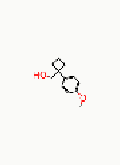 COc1ccc(C2(CO)CCC2)cc1